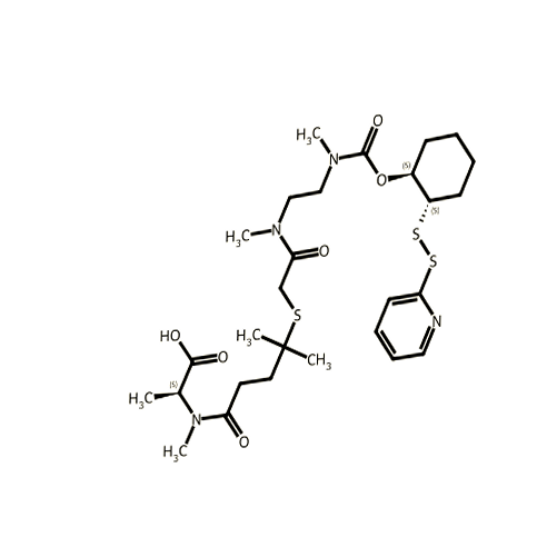 C[C@@H](C(=O)O)N(C)C(=O)CCC(C)(C)SCC(=O)N(C)CCN(C)C(=O)O[C@H]1CCCC[C@@H]1SSc1ccccn1